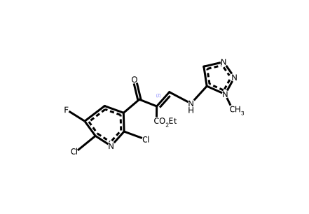 CCOC(=O)/C(=C\Nc1cnnn1C)C(=O)c1cc(F)c(Cl)nc1Cl